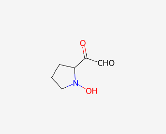 O=CC(=O)C1CCCN1O